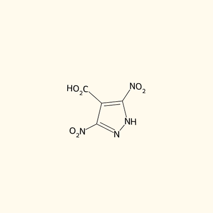 O=C(O)c1c([N+](=O)[O-])n[nH]c1[N+](=O)[O-]